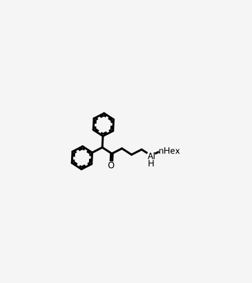 CCCCC[CH2][AlH][CH2]CCC(=O)C(c1ccccc1)c1ccccc1